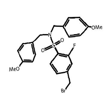 COc1ccc(CN(Cc2ccc(OC)cc2)S(=O)(=O)c2ccc(CBr)cc2F)cc1